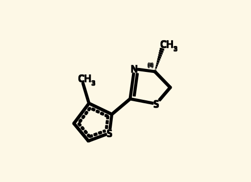 Cc1ccsc1C1=N[C@H](C)CS1